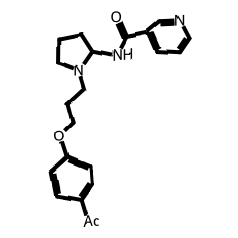 CC(=O)c1ccc(OCCCN2CCCC2NC(=O)c2cccnc2)cc1